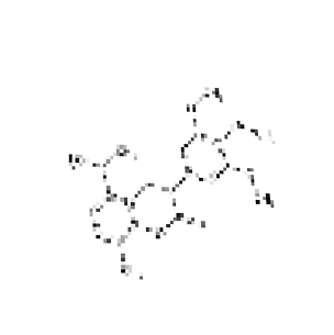 COc1cc(C2Cc3c(C(C)C)ccc(C)c3OC2=O)cc(OC)c1OC